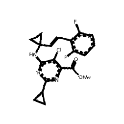 COC(=O)c1nc(C2CC2)nc(NC2(C=Cc3c(F)cccc3F)CC2)c1Cl